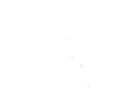 CCCC(=O)Oc1nnc(Cl)cc1C